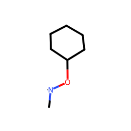 C[N]OC1CCCCC1